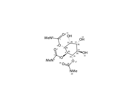 CNC(=O)O[C@H]1[C@H](OC(=O)NC)[C@H](O)[C@H](O)[C@@H](O)[C@@H]1OC(=O)NC